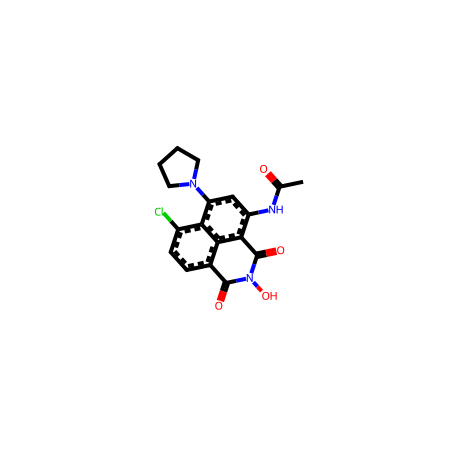 CC(=O)Nc1cc(N2CCCC2)c2c(Cl)ccc3c2c1C(=O)N(O)C3=O